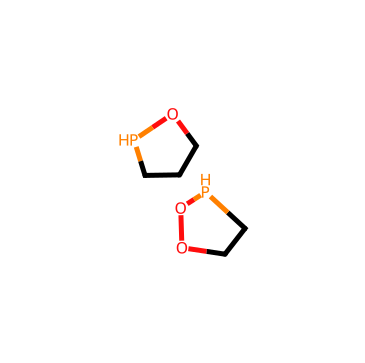 C1COPC1.C1CPOO1